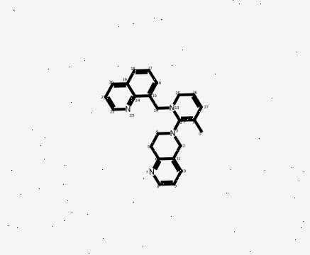 CC1=C(N2CCc3ncccc3C2)N(Cc2cccc3cccnc23)CC=C1